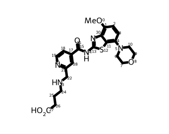 COc1ccc(N2CCOCC2)c2sc(NC(=O)c3ccnc(CNCCCC(=O)O)c3)nc12